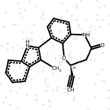 C#C[C@@H]1CC(=O)Nc2cccc(-c3[nH]c4ccccc4c3C)c2O1